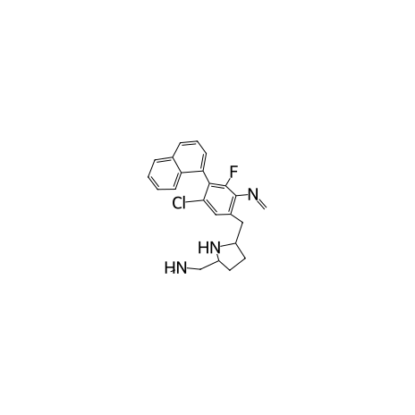 C=Nc1c(CC2CCC(CNC)N2)cc(Cl)c(-c2cccc3ccccc23)c1F